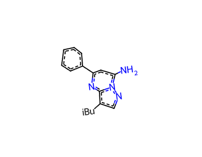 CCC(C)c1cnn2c(N)cc(-c3ccccc3)nc12